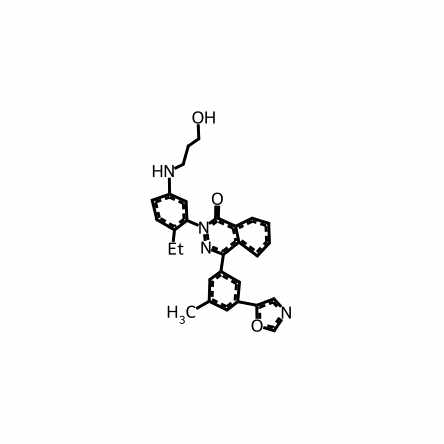 CCc1ccc(NCCCO)cc1-n1nc(-c2cc(C)cc(-c3cnco3)c2)c2ccccc2c1=O